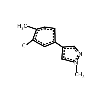 Cc1ccc(-c2cnn(C)c2)cc1Cl